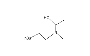 [CH2]C(O)N(C)CCCCCC